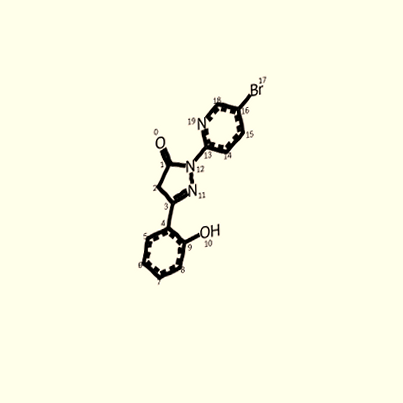 O=C1CC(c2ccccc2O)=NN1c1ccc(Br)cn1